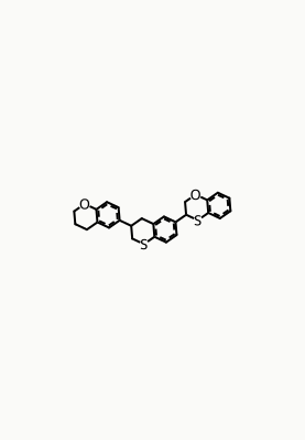 c1ccc2c(c1)OCC(c1ccc3c(c1)CC(c1ccc4c(c1)CCCO4)CS3)S2